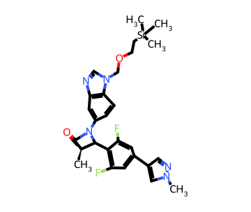 C[C@H]1C(=O)N(c2ccc3c(c2)ncn3COCC[Si](C)(C)C)C1c1c(F)cc(-c2cnn(C)c2)cc1F